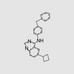 c1ccc(Cc2ccc(Nc3ncnc4ccc(C5CCC5)cc34)cc2)cc1